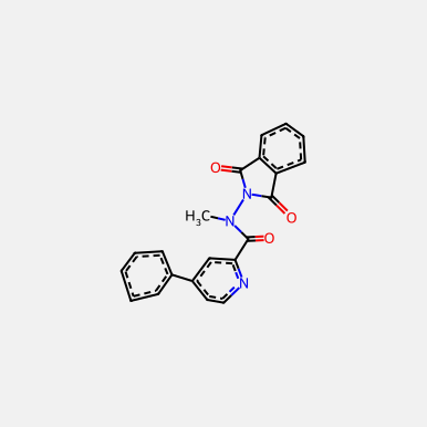 CN(C(=O)c1cc(-c2ccccc2)ccn1)N1C(=O)c2ccccc2C1=O